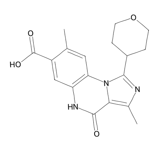 Cc1cc2c(cc1C(=O)O)[nH]c(=O)c1c(C)nc(C3CCOCC3)n12